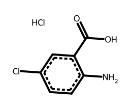 Cl.Nc1ccc(Cl)cc1C(=O)O